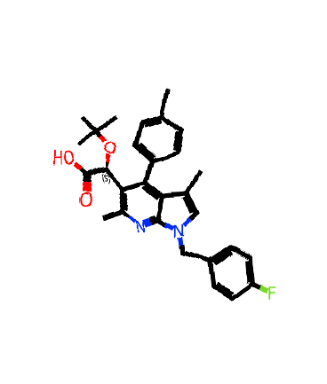 Cc1ccc(-c2c([C@H](OC(C)(C)C)C(=O)O)c(C)nc3c2c(C)cn3Cc2ccc(F)cc2)cc1